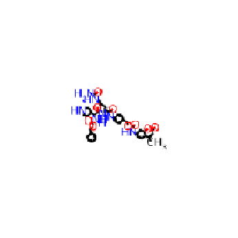 Cc1cc(=O)oc2cc(NC(=O)OCc3ccc(NC(=O)[C@H](CCCNC(N)=O)NC(=O)C(NC(=O)OCc4ccccc4)C4CCNCC4)cc3)ccc12